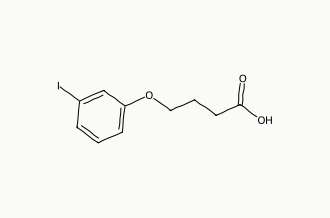 O=C(O)CCCOc1cccc(I)c1